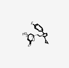 O=C1C[C@@H](O)C[C@H](CCn2c(-c3ccc(F)cc3)ccc2C2CC2)O1